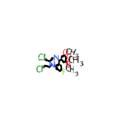 COc1cc(C2=NCC(CCl)N(CCCl)c3ccc(F)cc32)cc(OC)c1OC